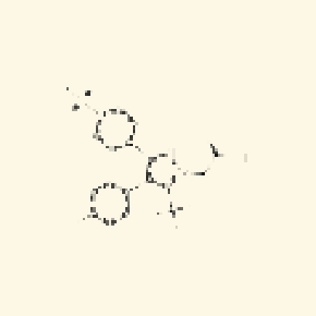 CS(=O)(=O)c1ccc(-c2nn(CC(=O)O)c(C(F)(F)F)c2-c2ccc(F)cc2)cc1